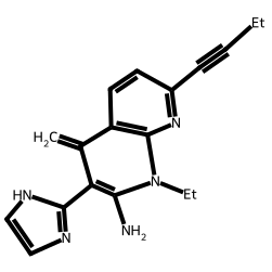 C=C1C(c2ncc[nH]2)=C(N)N(CC)c2nc(C#CCC)ccc21